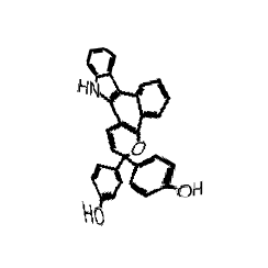 Oc1ccc(C2(c3ccc(O)cc3)C=Cc3c(c4ccccc4c4c3[nH]c3ccccc34)O2)cc1